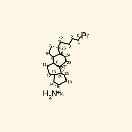 CC(C)CCC[C@@H](C)[C@H]1CCC2C3CCC4C[C@@H](CN)CC[C@]4(C)C3CC[C@@]21C